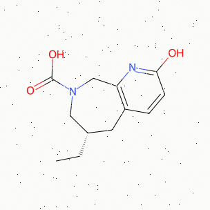 CC[C@H]1Cc2ccc(O)nc2CN(C(=O)O)C1